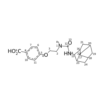 CN(CCOc1ccc(C(=O)O)cc1)C(=O)NC1C2CC3CC(C2)CC1C3